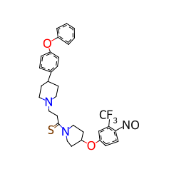 O=Nc1ccc(OC2CCN(C(=S)CCN3CCC(c4ccc(Oc5ccccc5)cc4)CC3)CC2)cc1C(F)(F)F